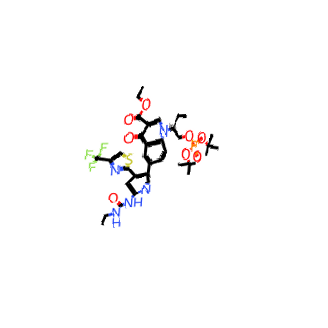 CCNC(=O)Nc1cc(-c2nc(C(F)(F)F)cs2)c(-c2ccc3c(c2)c(=O)c(C(=O)OCC)cn3[C@@H](CC)COP(=O)(OC(C)(C)C)OC(C)(C)C)cn1